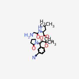 CC(C)CC(NC(=O)CN)C(=O)O[C@H]1[C@H](N2CCCC2=O)c2cc(C#N)ccc2OC1(C)C